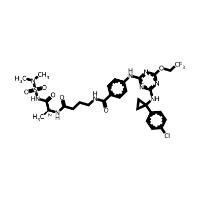 C[C@H](NC(=O)CCCNC(=O)c1ccc(Nc2nc(NC3(c4ccc(Cl)cc4)CC3)nc(OCC(F)(F)F)n2)cc1)C(=O)NS(=O)(=O)N(C)C